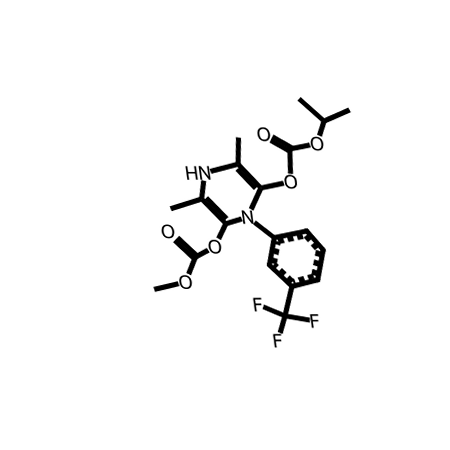 COC(=O)OC1=C(C)NC(C)=C(OC(=O)OC(C)C)N1c1cccc(C(F)(F)F)c1